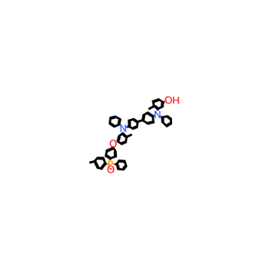 Cc1ccc(P(=O)(c2ccccc2)c2ccc(Oc3ccc(C)c(N(c4ccccc4)c4ccc(-c5ccc(N(c6ccccc6)c6cc(O)ccc6C)cc5)cc4)c3)cc2)cc1